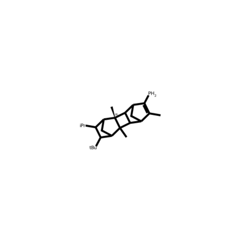 CC1=C(P)C2CC1C1C2[C@@]2(C)C3CC(C(C(C)(C)C)C3C(C)C)C12C